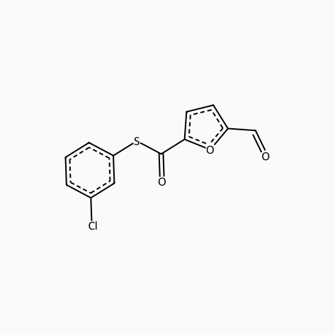 O=Cc1ccc(C(=O)Sc2cccc(Cl)c2)o1